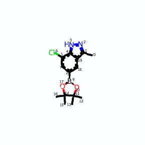 Cc1n[nH]c2c(Cl)cc(B3OC(C)(C)C(C)(C)O3)cc12